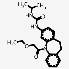 CCOCC(=O)N1c2ccccc2CCc2ccc(NC(=O)NC(C)C)cc21